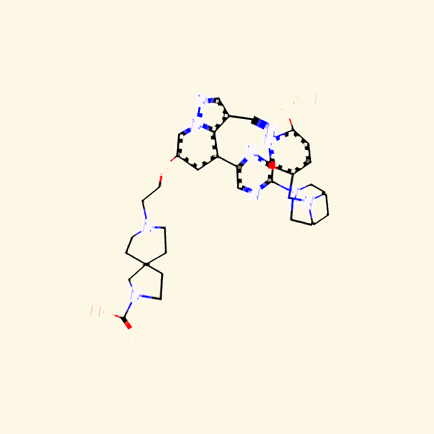 COc1ccc(CN2C3CC2CN(c2cnc(-c4cc(OCCN5CCC6(CC5)CCN(C(=O)O)C6)cn5ncc(C#N)c45)cn2)C3)cn1